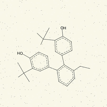 CCc1cccc(-c2ccc(O)c(C(C)(C)C)c2)c1-c1ccc(O)c(C(C)(C)C)c1